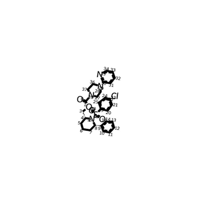 O=C(OC[C@H]1CCC[C@@H](c2ccccc2)N1S(=O)(=O)c1ccc(Cl)cc1)N1CCN(c2ccccn2)CC1